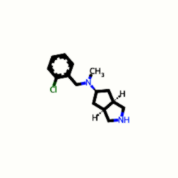 CN(Cc1ccccc1Cl)[C@H]1C[C@H]2CNC[C@H]2C1